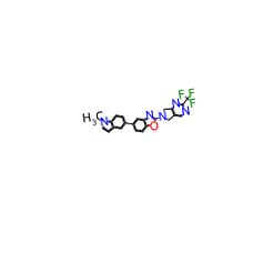 Cn1ccc2cc(-c3ccc4oc(N5Cc6cnc(C(F)(F)F)nc6C5)nc4c3)ccc21